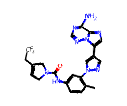 Cc1ccc(NC(=O)N2CC=C(CC(F)(F)F)C2)cc1-n1cc(-c2cnc3c(N)ncnn23)cn1